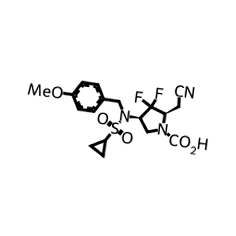 COc1ccc(CN([C@@H]2CN(C(=O)O)[C@H](CC#N)C2(F)F)S(=O)(=O)C2CC2)cc1